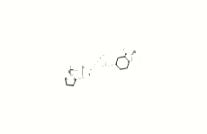 C[C@H](CNCc1cccs1)SCc1ccc2c(c1)OCO2